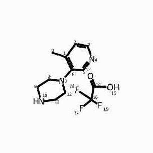 Cc1ccncc1N1CCNCC1.O=C(O)C(F)(F)F